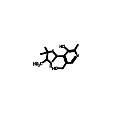 Cc1ncc(CO)c(C2NC(C(=O)O)C(C)(C)S2)c1O